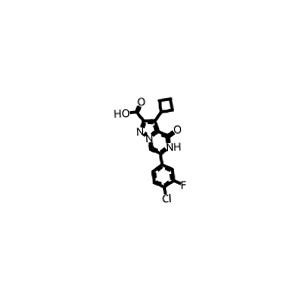 O=C(O)c1nn2cc(-c3ccc(Cl)c(F)c3)[nH]c(=O)c2c1C1CCC1